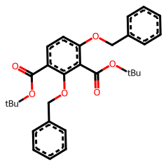 CC(C)(C)OC(=O)c1ccc(OCc2ccccc2)c(C(=O)OC(C)(C)C)c1OCc1ccccc1